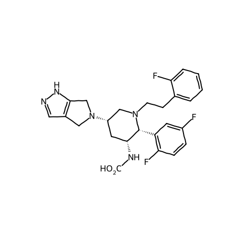 O=C(O)N[C@@H]1C[C@H](N2Cc3cn[nH]c3C2)CN(CCc2ccccc2F)[C@@H]1c1cc(F)ccc1F